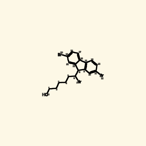 OCCCCCC(Br)C1c2cc(Br)ccc2-c2ccc(Br)cc21